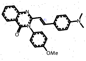 COc1ccc(-n2c(/C=C/c3ccc(N(C)C)cc3)nc3ccccc3c2=O)cc1